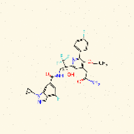 CCOc1c(CC(N)=O)cc([C@@](O)(CNC(=O)c2cc(F)c3cnn(C4CC4)c3c2)C(F)(F)F)nc1-c1ccc(F)cc1